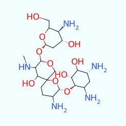 CNC1C(O[C@@H]2C[C@@H](O)[C@H](N)C(CO)O2)OCC2(CCC(N)[C@@H](O[C@@H]3C(N)C[C@@H](N)C(O)[C@H]3O)O2)C1O